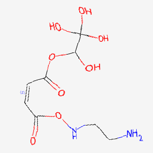 NCCNOC(=O)/C=C\C(=O)OC(O)C(O)(O)O